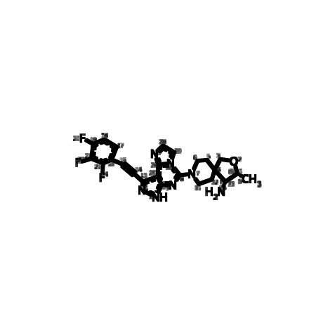 C[C@@H]1OCC2(CCN(c3nc4[nH]nc(C#Cc5ccc(F)c(F)c5F)c4c4nccn34)CC2)[C@@H]1N